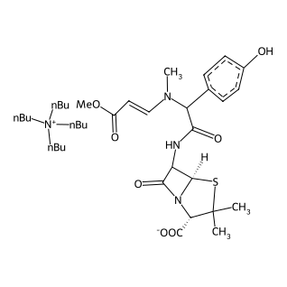 CCCC[N+](CCCC)(CCCC)CCCC.COC(=O)/C=C/N(C)C(C(=O)NC1C(=O)N2[C@@H]1SC(C)(C)[C@@H]2C(=O)[O-])c1ccc(O)cc1